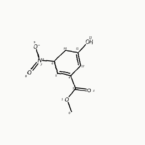 COC(=O)C1=CC([N+](=O)[O-])CC(O)=C1